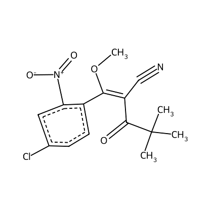 COC(=C(C#N)C(=O)C(C)(C)C)c1ccc(Cl)cc1[N+](=O)[O-]